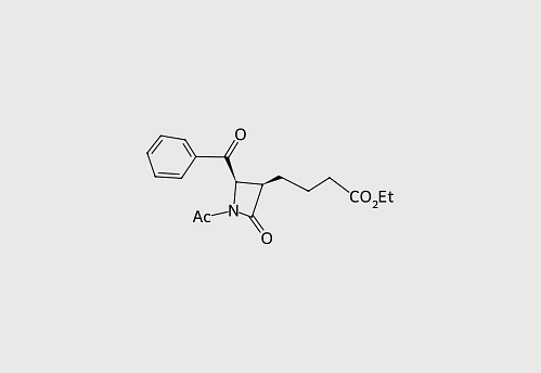 CCOC(=O)CCC[C@H]1C(=O)N(C(C)=O)[C@H]1C(=O)c1ccccc1